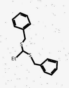 CCC(SCc1ccccc1)SCc1ccccc1